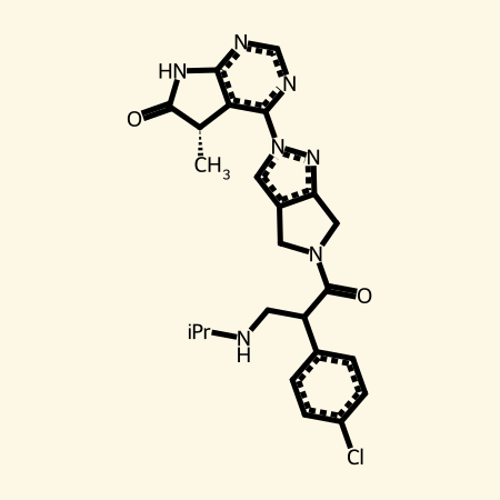 CC(C)NCC(C(=O)N1Cc2cn(-c3ncnc4c3[C@H](C)C(=O)N4)nc2C1)c1ccc(Cl)cc1